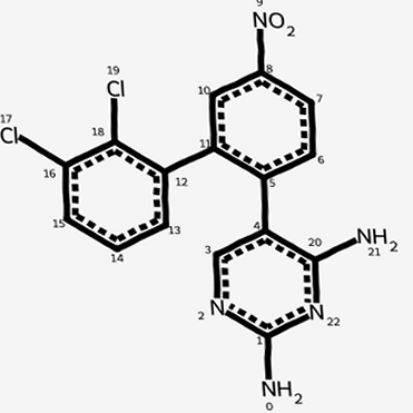 Nc1ncc(-c2ccc([N+](=O)[O-])cc2-c2cccc(Cl)c2Cl)c(N)n1